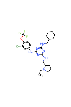 CCN1CCCC1CNc1nc(NCC2CCCCC2)nc(Nc2ccc(OC(F)(F)F)c(Cl)c2)n1